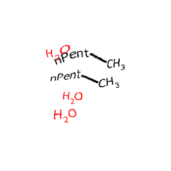 CCCCCC.CCCCCC.O.O.O